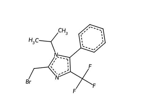 CC(C)n1c(CBr)nc(C(F)(F)F)c1-c1ccccc1